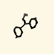 ON=C(c1ccncc1)c1cccnc1